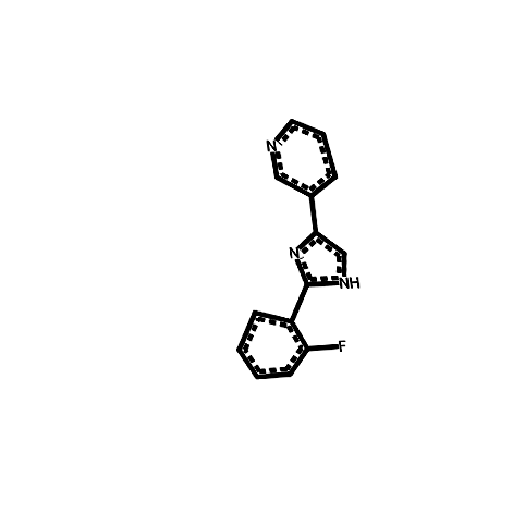 Fc1ccccc1-c1nc(-c2cccnc2)c[nH]1